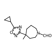 CC1(c2noc(C3CC3)n2)CCCN(C=O)CC1